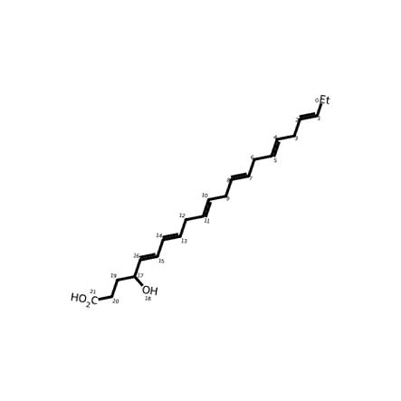 CC/C=C/C/C=C/C/C=C/C/C=C/C/C=C/C=C/C(O)CCC(=O)O